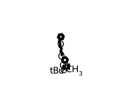 CN(C[C@H]1CC[C@H](OCCCCOCc2ccccc2)CC1)C(=O)OC(C)(C)C